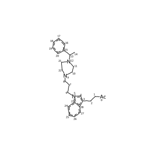 CC(=O)CCc1cn(CCCN2CCN(C(C)c3ccccc3)CC2)c2ccccc12